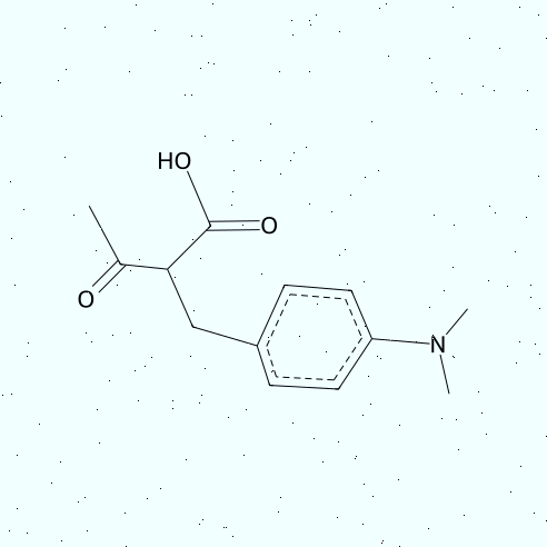 CC(=O)C(Cc1ccc(N(C)C)cc1)C(=O)O